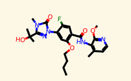 CCCCOc1cc(-n2nc(C(C)(C)O)n(C)c2=O)c(F)cc1C(=O)Nc1c(C)ccnc1OC